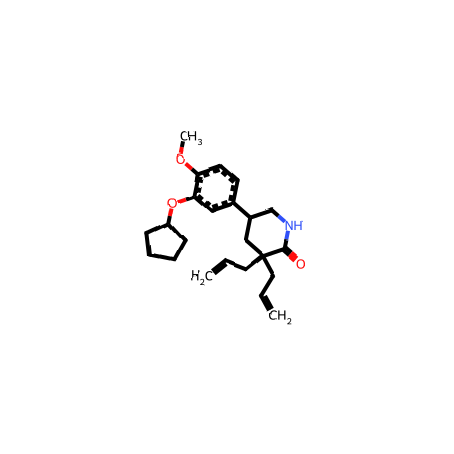 C=CCC1(CC=C)CC(c2ccc(OC)c(OC3CCCC3)c2)CNC1=O